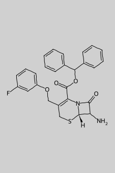 NC1C(=O)N2C(C(=O)OC(c3ccccc3)c3ccccc3)=C(COc3cccc(F)c3)CS[C@@H]12